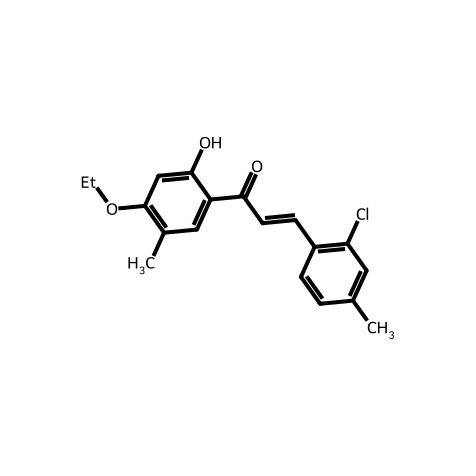 CCOc1cc(O)c(C(=O)/C=C/c2ccc(C)cc2Cl)cc1C